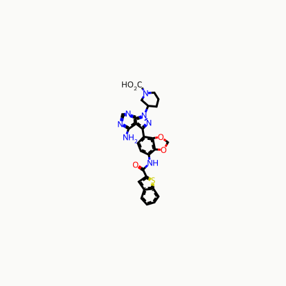 Nc1ncnc2c1c(-c1ccc(NC(=O)c3cc4ccccc4s3)c3c1OCO3)nn2C1CCCN(C(=O)O)C1